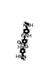 O=Nc1cc(C(=O)Nc2ccc(C3=NCCN3)cc2)ccc1C(=O)Nc1ccc(C2=NCCN2)cc1